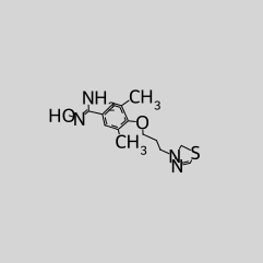 Cc1cc(C(N)=NO)cc(C)c1OCCCN1CSC=N1